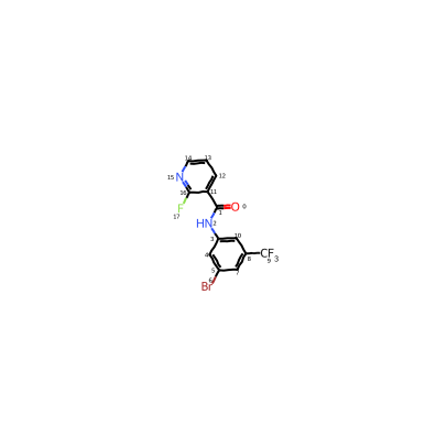 O=C(Nc1cc(Br)cc(C(F)(F)F)c1)c1cccnc1F